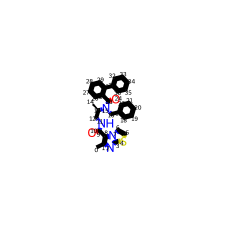 Cc1nc2sccn2c1C(=O)NC[C@@H](C)N(Cc1ccccc1)C(=O)c1ccccc1-c1ccccc1